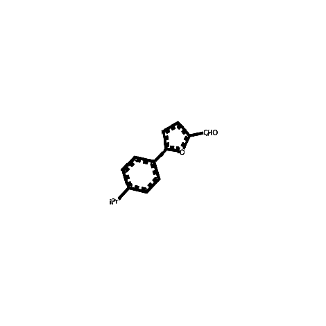 CC(C)c1ccc(-c2ccc(C=O)o2)cc1